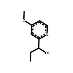 CCC(O)c1cc(OC)ccn1